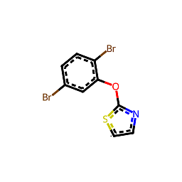 Brc1ccc(Br)c(Oc2nc[c]s2)c1